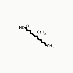 CCCCCCCCCCCCC(=O)O.[CaH2]